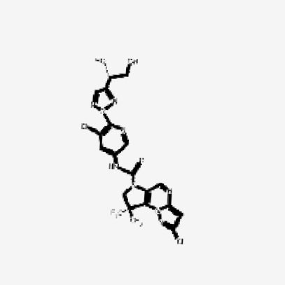 C[C@@]1(C(F)(F)F)CN(C(=O)Nc2cnc(-n3ncc([C@H](O)CO)n3)c(Cl)c2)c2cnc3cc(Cl)nn3c21